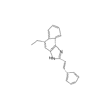 CCc1cc2[nH]c(C=Cc3ccccc3)nc2c2ccccc12